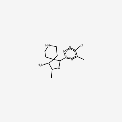 Cc1nc(C2O[C@@H](C)[C@@H](N)C23CCNCC3)nnc1Cl